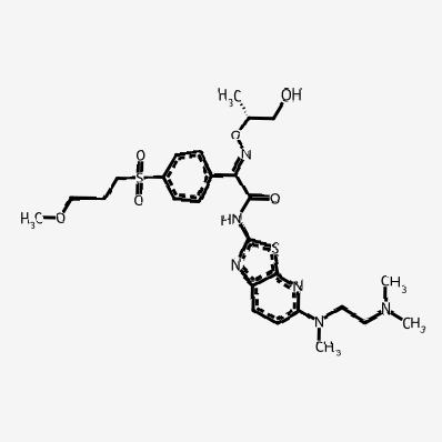 COCCCS(=O)(=O)c1ccc(/C(=N\O[C@H](C)CO)C(=O)Nc2nc3ccc(N(C)CCN(C)C)nc3s2)cc1